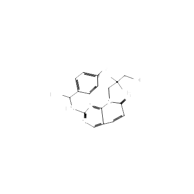 CC(Nc1ncc2ccc(=O)n(CC(C)(C)CO)c2n1)c1ccc(Br)cc1